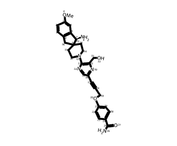 COc1ccc2c(c1)[C@@H](N)C1(CCN(c3ncc(C#CCOc4ccc(C(N)=O)cc4)nc3CO)CC1)C2